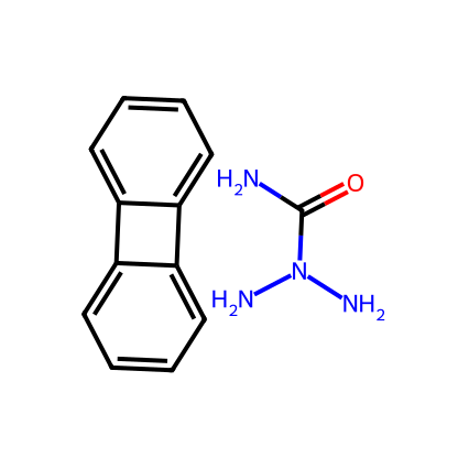 NC(=O)N(N)N.c1ccc2c(c1)-c1ccccc1-2